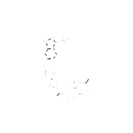 O=C1CO[C@H]2CCN(C(=O)N3CC4(CC(Cc5ccc6c(C(F)(F)F)n[nH]c6c5)C4)C3)C[C@H]2N1